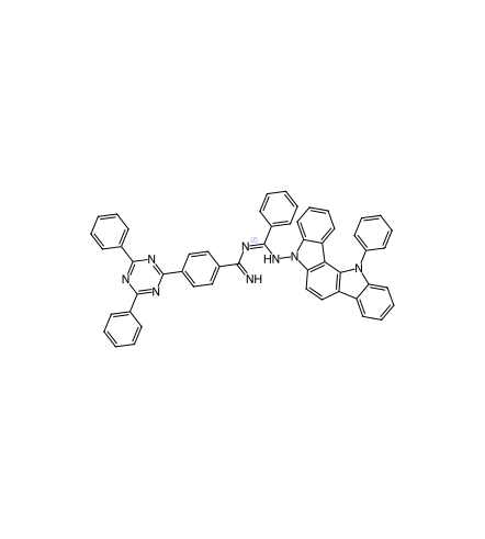 N=C(/N=C(\Nn1c2ccccc2c2c1ccc1c3ccccc3n(-c3ccccc3)c12)c1ccccc1)c1ccc(-c2nc(-c3ccccc3)nc(-c3ccccc3)n2)cc1